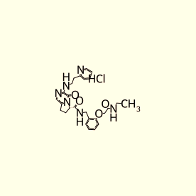 CCNC(=O)COc1ccccc1CNC(=O)[C@@H]1CCc2cnc(NCCc3ccccn3)c(=O)n21.Cl